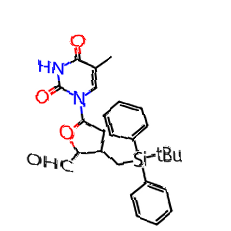 Cc1cn(C2CC(C[Si](c3ccccc3)(c3ccccc3)C(C)(C)C)C(C=O)O2)c(=O)[nH]c1=O